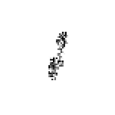 O=C(NCCCCCN1CCn2cncc2C1)c1cc(-c2cccs2)on1